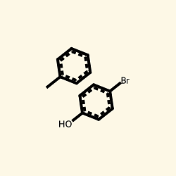 Cc1ccccc1.Oc1ccc(Br)cc1